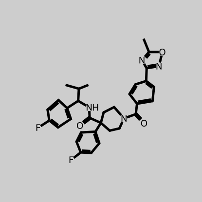 Cc1nc(-c2ccc(C(=O)N3CCC(C(=O)NC(c4ccc(F)cc4)C(C)C)(c4ccc(F)cc4)CC3)cc2)no1